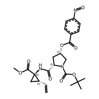 C=C[C@@H]1C[C@]1(NC(=O)[C@@H]1C[C@H](OC(=O)c2ccc(N=O)cc2)CN1C(=O)OC(C)(C)C)C(=O)OC